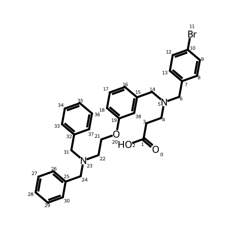 O=C(O)CCN(Cc1ccc(Br)cc1)Cc1cccc(OCCN(Cc2ccccc2)Cc2ccccc2)c1